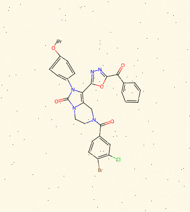 CC(C)Oc1ccc(-n2c(-c3nnc(C(=O)c4ccccc4)o3)c3n(c2=O)CCN(C(=O)c2ccc(Br)c(Cl)c2)C3)cc1